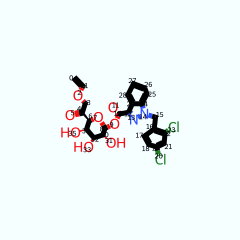 C=COCC(=O)[C@H]1OC(OC(=O)c2nn(Cc3ccc(Cl)cc3Cl)c3ccccc23)[C@H](O)[C@@H](O)[C@@H]1O